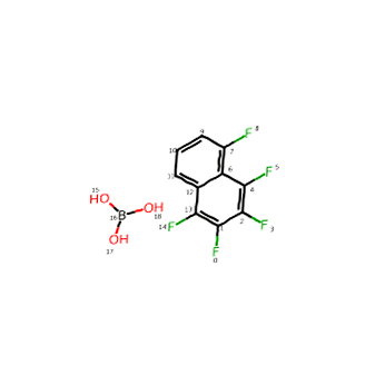 Fc1c(F)c(F)c2c(F)cccc2c1F.OB(O)O